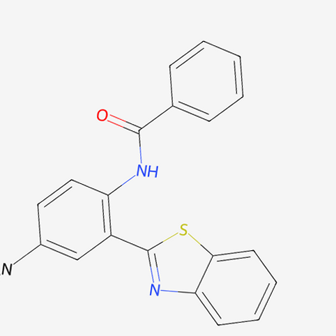 O=C(Nc1ccc([N+](=O)[O-])cc1-c1nc2ccccc2s1)c1ccccc1